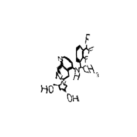 C[C@@H](Nc1ccnc2cnc(N3C[C@@H](O)C[C@H]3CO)cc12)c1cccc(C(F)F)c1F